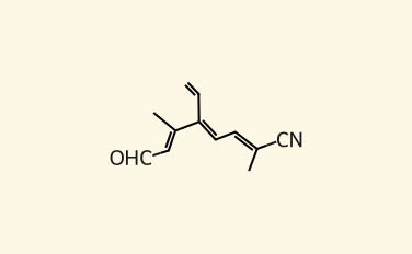 C=C/C(=C\C=C(/C)C#N)C(C)=CC=O